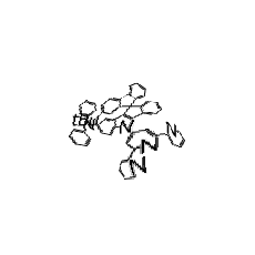 CC(C)(C)c1ccc2c(c1)C1(c3ccccc3-2)c2ccccc2-c2c1c1cc(N(c3ccccc3)c3ccccc3)ccc1n2-c1cc(-c2ccccn2)nc(-c2ccccn2)c1